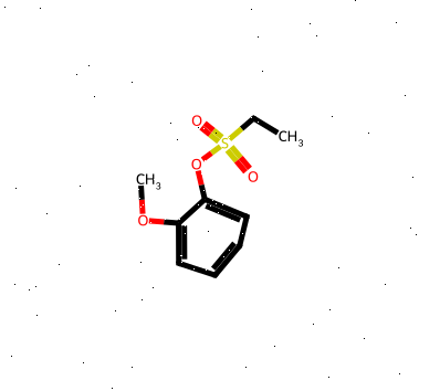 CCS(=O)(=O)Oc1ccccc1OC